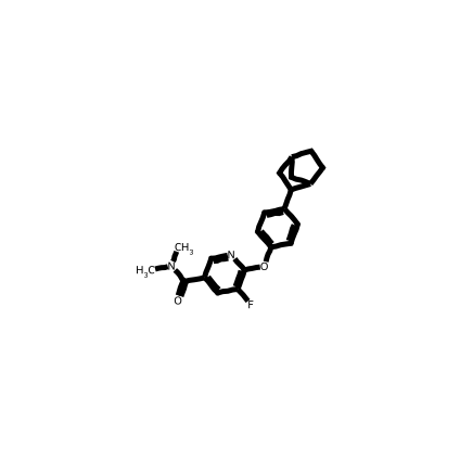 CN(C)C(=O)c1cnc(Oc2ccc(C3CC4CCC3C4)cc2)c(F)c1